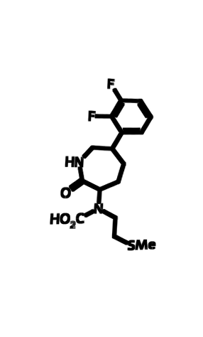 CSCCN(C(=O)O)C1CCC(c2cccc(F)c2F)CNC1=O